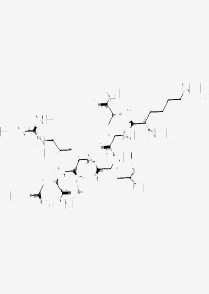 CC(C)C[C@H](NC(=O)[C@H](CCC(=O)O)NC(=O)[C@H](N)CCCCN)C(=O)N[C@@H](CCCNC(=N)N)C(=O)N[C@@H](CC(=O)O)C(=O)O